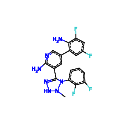 CN1NN=C(c2cc(-c3cc(F)cc(F)c3N)cnc2N)N1c1cccc(F)c1F